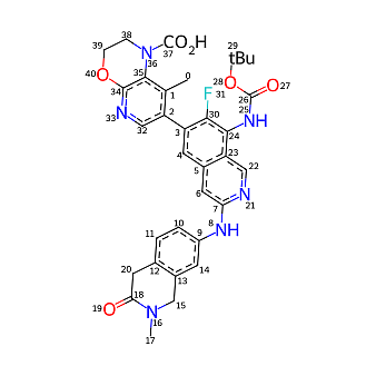 Cc1c(-c2cc3cc(Nc4ccc5c(c4)CN(C)C(=O)C5)ncc3c(NC(=O)OC(C)(C)C)c2F)cnc2c1N(C(=O)O)CCO2